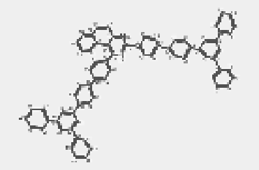 c1ccc(-c2cc(-c3ccccc3)cc(-c3ccc(-c4ccc(-c5nc(-c6ccc(-c7ccc(-c8cc(-c9ccccc9)cc(-c9ccccc9)c8)cc7)cc6)c6c(ccc7ccccc76)n5)cc4)cc3)c2)cc1